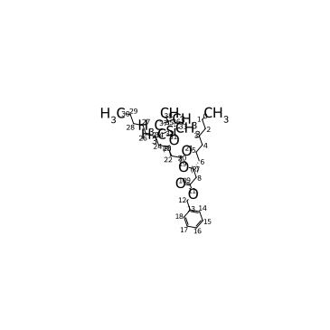 CCCCCCC[C@H](CC(=O)OCc1ccccc1)OC(=O)C[C@@H](CCCCCCC)O[Si](C)(C)C(C)(C)C